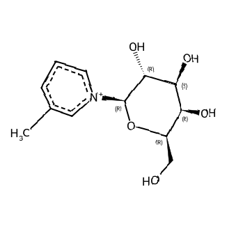 Cc1ccc[n+]([C@@H]2O[C@H](CO)[C@H](O)[C@H](O)[C@H]2O)c1